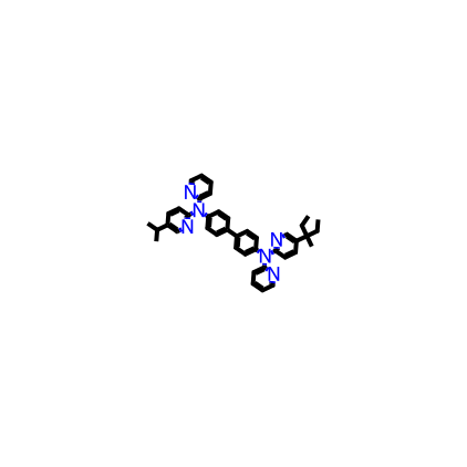 CCC(C)(CC)c1ccc(N(c2ccc(-c3ccc(N(c4ccccn4)c4ccc(C(C)C)cn4)cc3)cc2)c2ccccn2)nc1